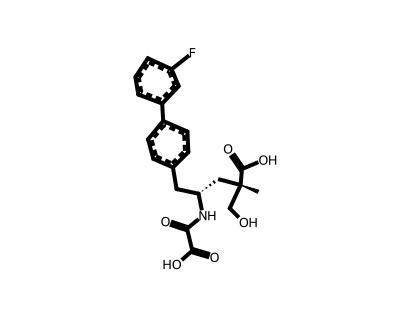 C[C@@](CO)(C[C@@H](Cc1ccc(-c2cccc(F)c2)cc1)NC(=O)C(=O)O)C(=O)O